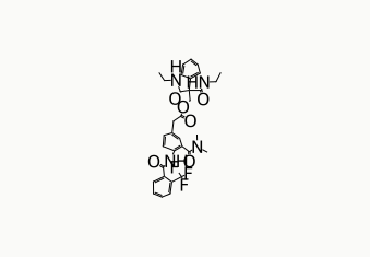 CCNC(=O)C(COC(=O)Cc1ccc(NC(=O)c2ccccc2C(F)(F)F)c(C(=O)N(C)C)c1)(C(=O)NCC)c1ccccc1